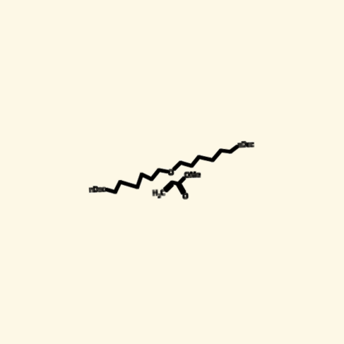 C=CC(=O)OC.CCCCCCCCCCCCCCCCOCCCCCCCCCCCCCCCC